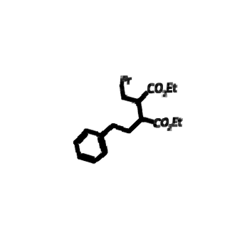 CCOC(=O)C(CCc1ccccc1)C(CC(C)C)C(=O)OCC